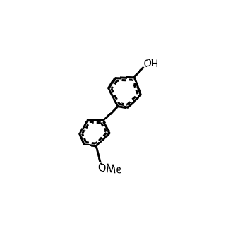 COc1cccc(-c2ccc(O)cc2)c1